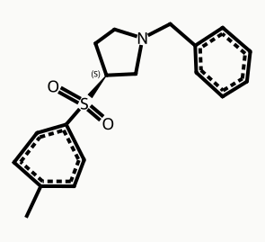 Cc1ccc(S(=O)(=O)[C@H]2CCN(Cc3ccccc3)C2)cc1